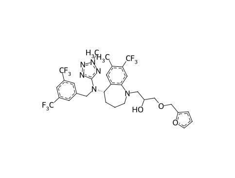 Cc1cc2c(cc1C(F)(F)F)N(CC(O)COCc1ccco1)CCC[C@@H]2N(Cc1cc(C(F)(F)F)cc(C(F)(F)F)c1)c1nnn(C)n1